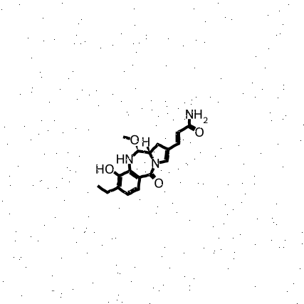 CCc1ccc2c(c1O)N[C@H](OC)[C@@H]1CC(/C=C/C(N)=O)=CN1C2=O